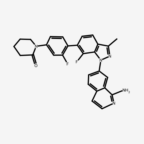 Cc1nn(-c2ccc3ccnc(N)c3c2)c2c(F)c(-c3ccc(N4CCCCC4=O)cc3F)ccc12